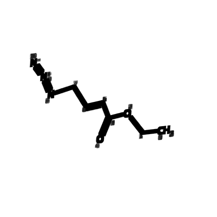 CCOC(=O)C=CCN=[N+]=[N-]